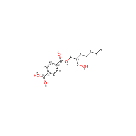 CCCCCC(CO)COC(=O)c1ccc(C(=O)O)cc1